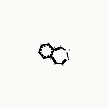 C1=NOC=c2ccccc2=C1